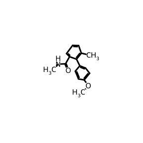 CNC(=O)c1cccc(C)c1-c1ccc(OC)cc1